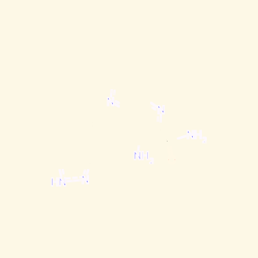 Cc1cc2c[nH]nc2cc1-c1c(N)c(C(N)=O)nc2cccnc12